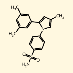 Cc1cc(C)cc(-c2cc(C)cn2-c2ccc(S(N)(=O)=O)cc2)c1